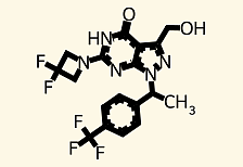 CC(c1ccc(C(F)(F)F)cc1)n1nc(CO)c2c(=O)[nH]c(N3CC(F)(F)C3)nc21